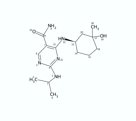 CC(C)Nc1ncc(C(N)=O)c(N[C@@H]2CCCC(C)(O)C2)n1